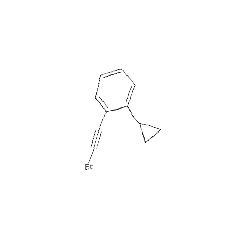 CCC#Cc1ccccc1C1CC1